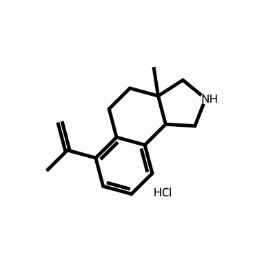 C=C(C)c1cccc2c1CCC1(C)CNCC21.Cl